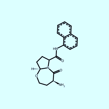 N[C@H]1CCO[C@H]2CCC(C(=O)Nc3cccc4ccccc34)N2C1=O